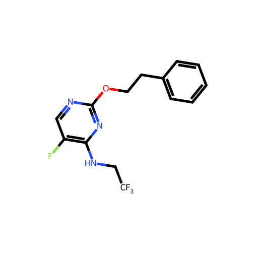 Fc1cnc(OCCc2ccccc2)nc1NCC(F)(F)F